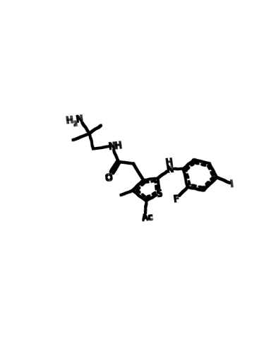 CC(=O)c1sc(Nc2ccc(I)cc2F)c(CC(=O)NCC(C)(C)N)c1C